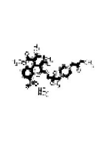 CCC(=O)CN1CCN(CC(C)(C)COC(=O)C2=C(C)NC(C)=C(C(=O)OC)C2c2cccc([N+](=O)[O-])c2)CC1.Cl.Cl